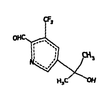 CC(C)(O)c1cnc(C=O)c(C(F)(F)F)c1